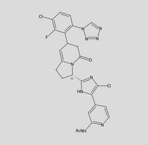 CC(=O)Nc1cc(-c2[nH]c([C@@H]3CCC4=CC(c5c(-n6cnnn6)ccc(Cl)c5F)CC(=O)N43)nc2Cl)ccn1